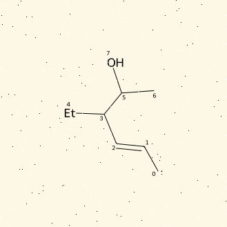 [CH2]C=CC(CC)C(C)O